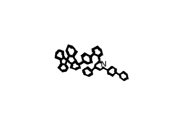 C1=C(c2ccccc2)CC(c2ccccc2-c2ccc(-c3cccc4c3-c3ccccc3C43c4ccccc4-c4ccccc43)cc2)N=C1c1ccc(-c2ccccc2)cc1